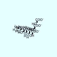 C=C.O=C([O-])CO.O=C([O-])CO.O=C([O-])CO.O=C([O-])CO.O=C([O-])CO.O=C([O-])CO.O=C([O-])CO.[Sb+3].[Ti+4]